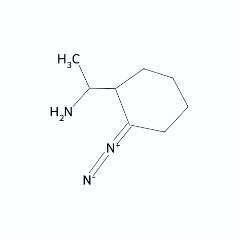 CC(N)C1CCCCC1=[N+]=[N-]